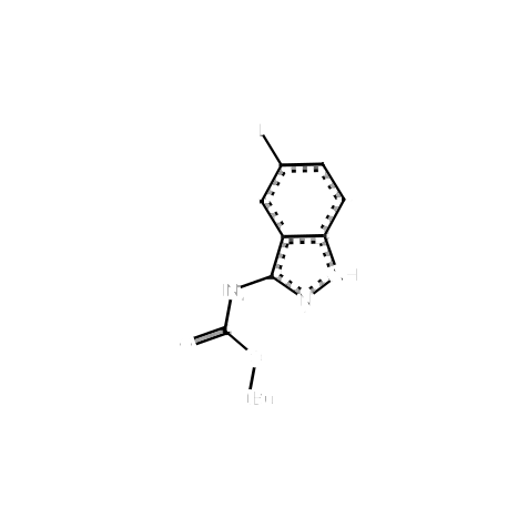 CC(C)(C)OC(=O)Nc1n[nH]c2ccc(I)cc12